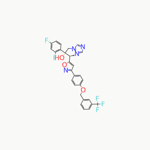 C[C@@H](c1cc(-c2ccc(OCc3cccc(C(F)(F)F)c3)cc2)no1)[C@](O)(Cn1cncn1)c1ccc(F)cc1F